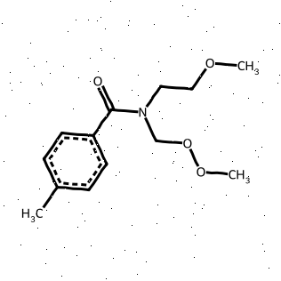 COCCN(COOC)C(=O)c1ccc(C)cc1